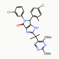 COc1ncc(C(C)(C)c2nc3c([nH]2)C(c2ccc(Cl)cc2C)N(c2cccc(Cl)c2)C3=O)c(OC)n1